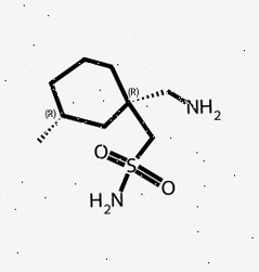 C[C@@H]1CCC[C@@](CN)(CS(N)(=O)=O)C1